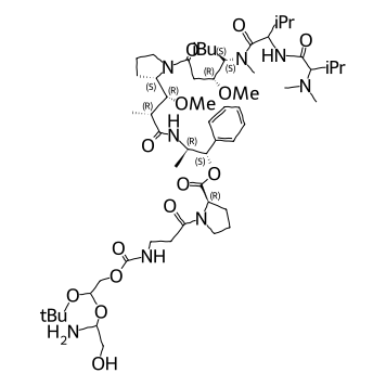 CC[C@H](C)[C@@H]([C@@H](CC(=O)N1CCC[C@H]1[C@H](OC)[C@@H](C)C(=O)N[C@H](C)[C@@H](OC(=O)[C@H]1CCCN1C(=O)CCNC(=O)OCC(OC(N)CO)OC(C)(C)C)c1ccccc1)OC)N(C)C(=O)C(NC(=O)C(C(C)C)N(C)C)C(C)C